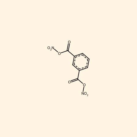 O=C(O[N+](=O)[O-])c1cccc(C(=O)O[N+](=O)[O-])c1